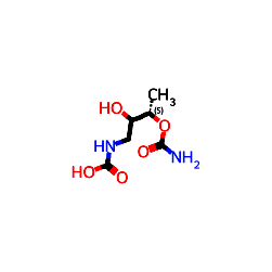 C[C@H](OC(N)=O)C(O)CNC(=O)O